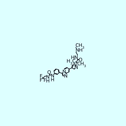 CCNCCNC(=O)C(C)(C)n1cc(-c2ccn3c(-c4cccc(NC(=O)NCC(F)(F)F)c4)cnc3c2)cn1